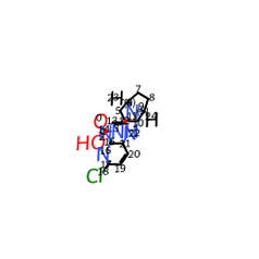 O=C(O)NC1C[C@H]2CC[C@@H](C1)N2c1cnc2nc(Cl)ccc2n1